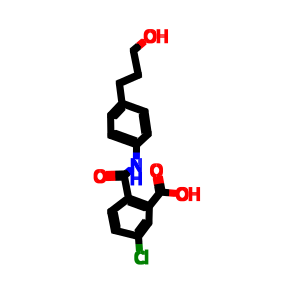 O=C(O)c1cc(Cl)ccc1C(=O)Nc1ccc(CCCO)cc1